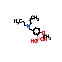 CCCN(CCC)Cc1ccc(OC)c(B(O)O)c1